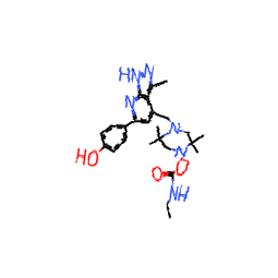 CCNC(=O)ON1CC(C)(C)N(Cc2cc(-c3ccc(O)cc3)nc3[nH]nc(C)c23)CC1(C)C